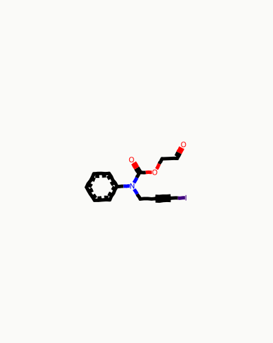 O=CCOC(=O)N(CC#CI)c1ccccc1